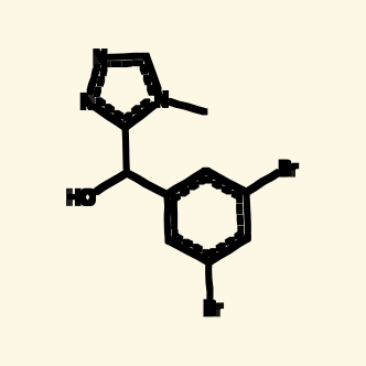 Cn1cnnc1C(O)c1cc(Br)cc(Br)c1